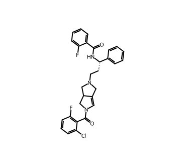 O=C(N[C@@H](CCN1CC2=CN(C(=O)c3c(F)cccc3Cl)CC2C1)c1ccccc1)c1ccccc1F